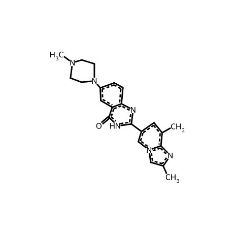 Cc1cn2cc(-c3nc4ccc(N5CCN(C)CC5)cc4c(=O)[nH]3)cc(C)c2n1